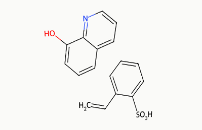 C=Cc1ccccc1S(=O)(=O)O.Oc1cccc2cccnc12